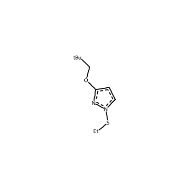 CCSn1ccc(OCC(C)(C)C)n1